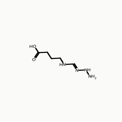 NNN=CNCCCC(=O)O